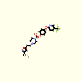 Cc1cc(CCN2CCN(C(=O)Oc3ccc(Oc4ccc(C(F)(F)F)cn4)cc3)CC2)on1